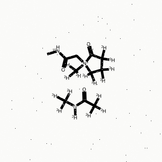 [2H]C1([2H])C(=O)[N+](CC(=O)[15NH]C)(C([2H])([2H])[2H])C([2H])([2H])C1([2H])[2H].[2H]N(C(=O)C([2H])([2H])[2H])C([2H])([2H])[2H]